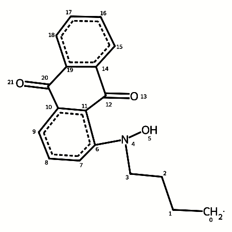 [CH2]CCCN(O)c1cccc2c1C(=O)c1ccccc1C2=O